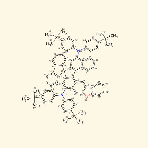 CC(C)(C)c1ccc(N(c2ccc(C(C)(C)C)cc2)c2cc3c(c4ccccc24)-c2c(cc(N(c4ccc(C(C)(C)C)cc4)c4ccc(C(C)(C)C)cc4)c4cc5oc6ccccc6c5cc24)C32c3ccccc3-c3ccccc32)cc1